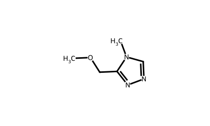 COCc1nncn1C